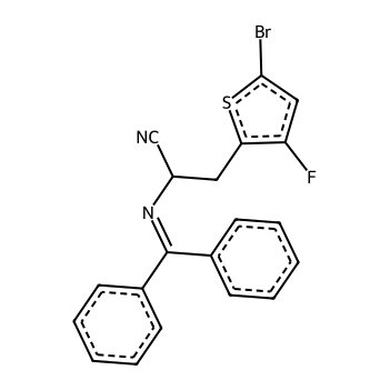 N#CC(Cc1sc(Br)cc1F)N=C(c1ccccc1)c1ccccc1